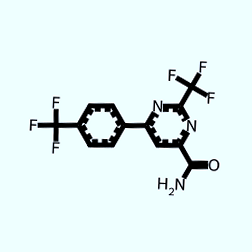 NC(=O)c1cc(-c2ccc(C(F)(F)F)cc2)nc(C(F)(F)F)n1